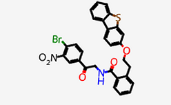 O=C(CNC(=O)c1ccccc1CCOc1ccc2c(c1)sc1ccccc12)c1ccc(Br)c([N+](=O)[O-])c1